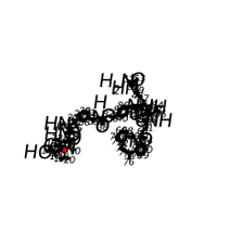 CN[C@@H](C(=O)N[C@H](C(=O)N(C)[C@H](/C=C(\C)C(=O)O)C(C)C)C(C)(C)C)C(C)(C)c1cccc(CNC(=O)OCc2ccc(NC(=O)[C@H](CCCNC(N)=O)NC(=O)[C@@H](NC(=O)CCC(=O)N3Cc4ccccc4/C=C\C(C)c4ccccc43)C(C)C)cc2)c1